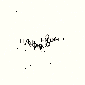 CNC(=O)c1ccc(N2CCN(Cc3ccc4c5c(c(=O)[nH]c4c3)CNC5)CC2)c(C)n1